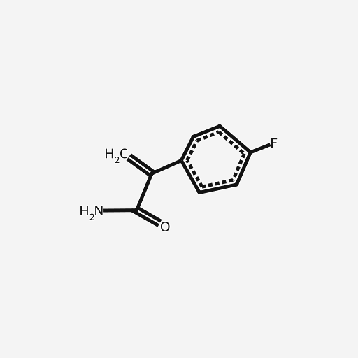 C=C(C(N)=O)c1ccc(F)cc1